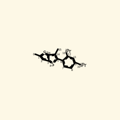 Cc1cc2sc(-c3ccc(C(C)C)cc3C(C)C)c(C)c2s1